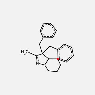 CC1=NC2CCCCC2C1(Cc1ccccc1)Cc1ccccc1